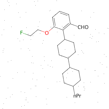 CCCC1CCC(C2CCC(c3c(C=O)cccc3OCCF)CC2)CC1